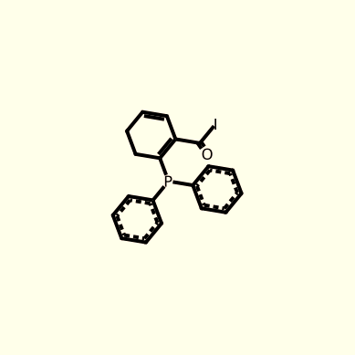 O=C(I)C1=C(P(c2ccccc2)c2ccccc2)CCC=C1